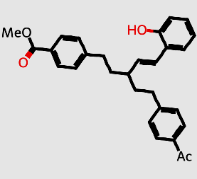 COC(=O)c1ccc(CCC(/C=C/c2ccccc2O)CCc2ccc(C(C)=O)cc2)cc1